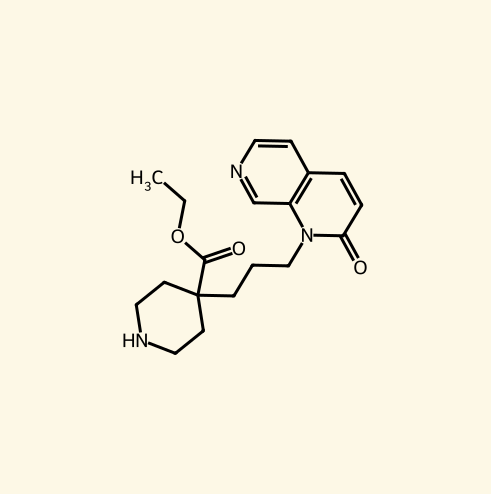 CCOC(=O)C1(CCCn2c(=O)ccc3ccncc32)CCNCC1